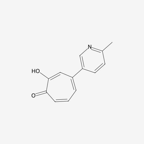 Cc1ccc(-c2cccc(=O)c(O)c2)cn1